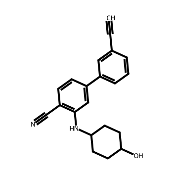 C#Cc1cccc(-c2ccc(C#N)c(NC3CCC(O)CC3)c2)c1